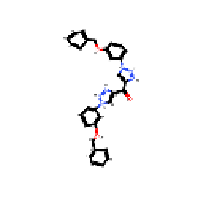 O=C(c1cn(-c2cccc(OCc3ccccc3)c2)nn1)c1cn(-c2cccc(OCc3ccccc3)c2)nn1